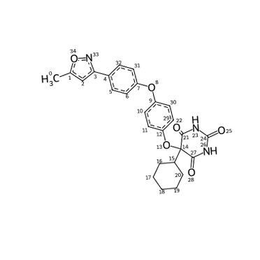 Cc1cc(-c2ccc(Oc3ccc(OC4(C5CCCCC5)C(=O)NC(=O)NC4=O)cc3)cc2)no1